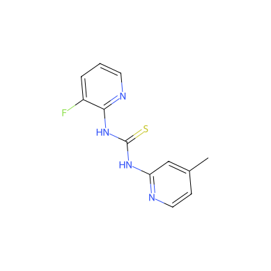 Cc1ccnc(NC(=S)Nc2ncccc2F)c1